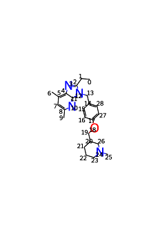 CCc1nc2c(C)cc(C)nc2n1Cc1ccc(OCC2CCCN(C)C2)cc1